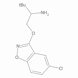 CC(C)(C)C(N)COc1noc2ccc(Cl)cc12